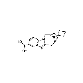 OB(O)c1ccc2c(c1)nc1n2CC2CCC(C1)N2C1CCC1